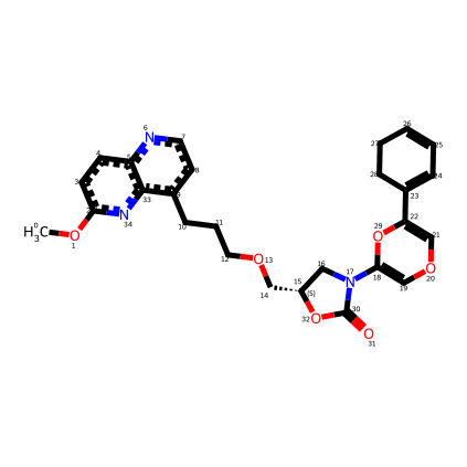 COc1ccc2nccc(CCCOC[C@@H]3CN(C4=COC=C(C5=CC=CCC5)O4)C(=O)O3)c2n1